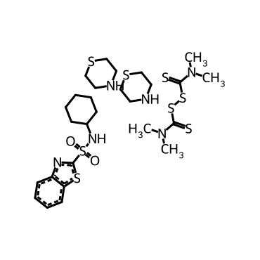 C1CSCCN1.C1CSCCN1.CN(C)C(=S)SSC(=S)N(C)C.O=S(=O)(NC1CCCCC1)c1nc2ccccc2s1